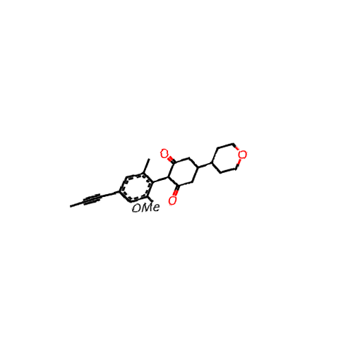 CC#Cc1cc(C)c(C2C(=O)CC(C3CCOCC3)CC2=O)c(OC)c1